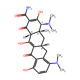 CN(C)c1ccc(O)c2c1C[C@H]1C[C@]3(C)[C@@H](C(=O)C(C(N)=O)=C(O)[C@H]3N(C)C)C(O)=C1C2=O